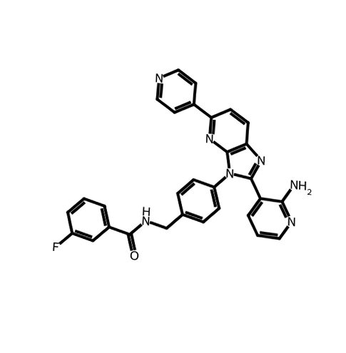 Nc1ncccc1-c1nc2ccc(-c3ccncc3)nc2n1-c1ccc(CNC(=O)c2cccc(F)c2)cc1